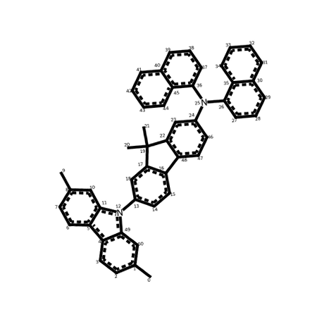 Cc1ccc2c3ccc(C)cc3n(-c3ccc4c(c3)C(C)(C)c3cc(N(c5cccc6ccccc56)c5cccc6ccccc56)ccc3-4)c2c1